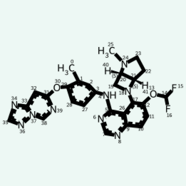 Cc1cc(Nc2ncnc3ccc(OC(F)F)c(N4C[C@H]5[C@@H]4CCN5C)c23)ccc1Oc1cc2ncnn2cn1